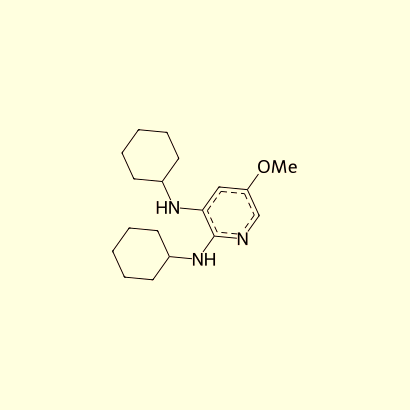 COc1cnc(NC2CCCCC2)c(NC2CCCCC2)c1